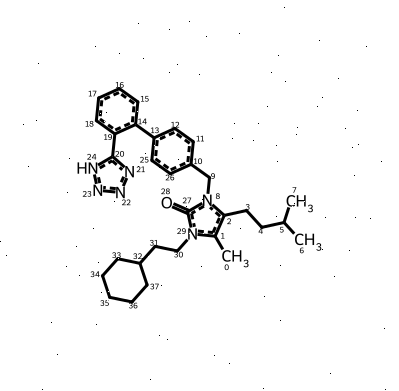 Cc1c(CCC(C)C)n(Cc2ccc(-c3ccccc3-c3nnn[nH]3)cc2)c(=O)n1CCC1CCCCC1